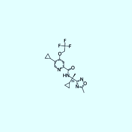 Cc1nc([C@@](C)(NC(=O)c2cc(OCC(F)(F)F)c(C3CC3)cn2)C2CC2)no1